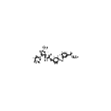 CNC(=O)c1cc(Oc2ccc(NC(=O)Nc3cc(C(C)(C)C)nn3-c3ccc(F)cc3)cc2)ccn1